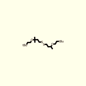 CC(CCSSCCC(C)(C)OCCC(C)(C)C)OCCC(C)(C)C